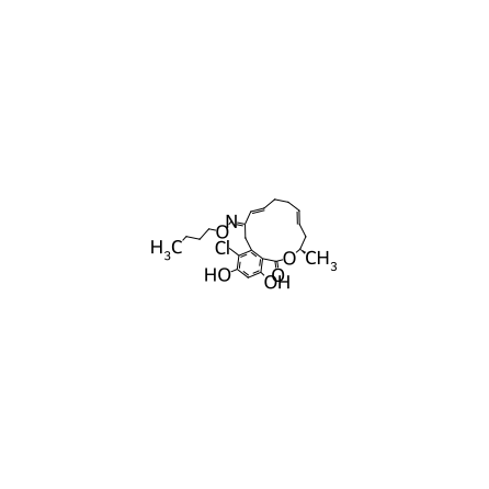 CCCCO/N=C1/C=C/CC/C=C/C[C@@H](C)OC(=O)c2c(O)cc(O)c(Cl)c2C1